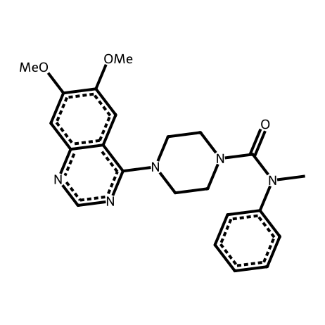 COc1cc2ncnc(N3CCN(C(=O)N(C)c4ccccc4)CC3)c2cc1OC